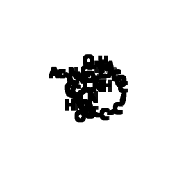 CC(=O)c1nn2c3cc(ccc13)NC(=O)OCCCCC=CCOC[C@@]13C[C@@H](C(=O)Nc4nc(Br)ccc4C)N(C(=O)C2)[C@@H]1C3